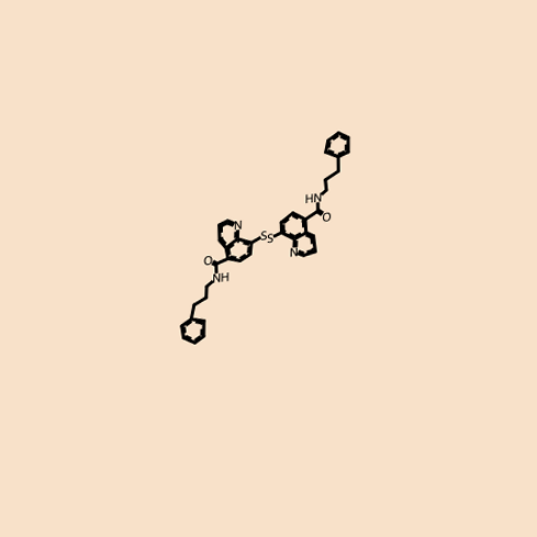 O=C(NCCCc1ccccc1)c1ccc(SSc2ccc(C(=O)NCCCc3ccccc3)c3cccnc23)c2ncccc12